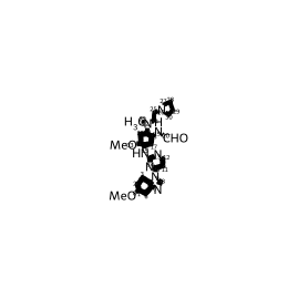 COc1ccc2c(c1)ncn2-c1ccnc(Nc2cc(NC=O)c(N(C)CCN3CCCC3)cc2OC)n1